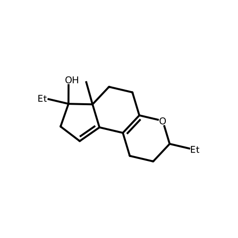 CCC1CCC2=C(CCC3(C)C2=CCC3(O)CC)O1